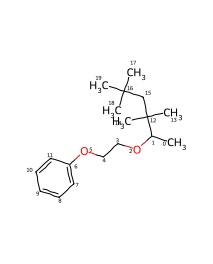 CC(OCCOc1ccccc1)C(C)(C)CC(C)(C)C